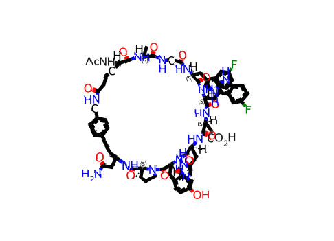 CC(=O)N[C@H]1CCCC(=O)NCc2ccc(cc2)CC(CC(N)=O)NC(=O)[C@]2(C)CCCN2C(=O)[C@H](Cc2ccc(O)cc2)NC(=O)[C@H](Cc2cnc[nH]2)NC(=O)[C@H](CC(=O)O)NC(=O)[C@H](Cc2c[nH]c3ccc(F)cc23)NC(=O)[C@H](Cc2c[nH]c3ccc(F)cc23)NC(=O)CNC(=O)[C@H](C)NC1=O